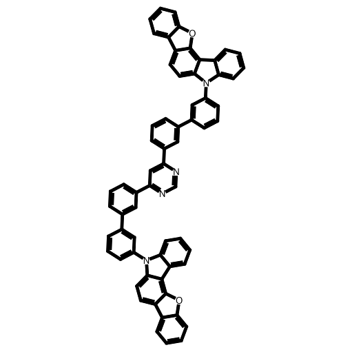 c1cc(-c2cccc(-n3c4ccccc4c4c5oc6ccccc6c5ccc43)c2)cc(-c2cc(-c3cccc(-c4cccc(-n5c6ccccc6c6c7oc8ccccc8c7ccc65)c4)c3)ncn2)c1